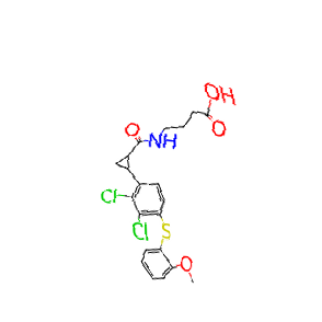 COc1ccccc1Sc1ccc(C2CC2C(=O)NCCCC(=O)O)c(Cl)c1Cl